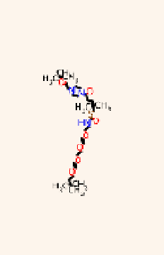 CC(C)(C)CCOCCOCCOCCOCCNC(=O)SCC(C)(C)CCC(=O)N1CCN(CCOC(C)(C)C)CC1